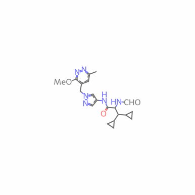 COc1nnc(C)cc1Cn1cc(NC(=O)C(NC=O)C(C2CC2)C2CC2)cn1